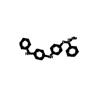 CC(C)(C)[SiH](Oc1ccc(Nc2ccc(Nc3ccccc3)cc2)cc1)c1ccccc1